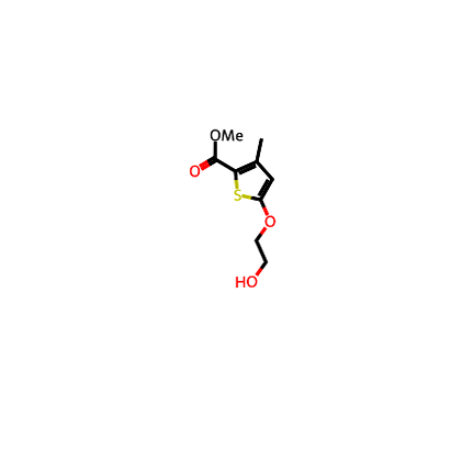 COC(=O)c1sc(OCCO)cc1C